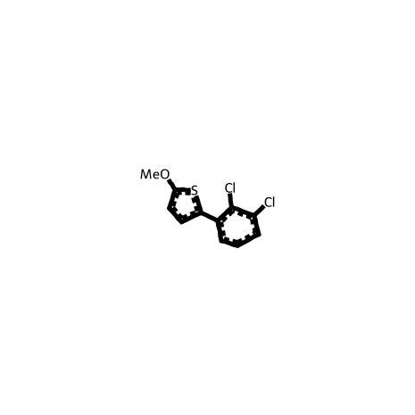 COc1ccc(-c2cccc(Cl)c2Cl)s1